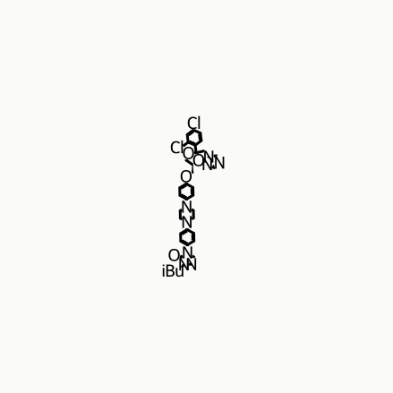 CCC(C)n1ncn(-c2ccc(N3CCN(c4ccc(OC[C@H]5COC(Cn6cncn6)(c6ccc(Cl)cc6Cl)O5)cc4)CC3)cc2)c1=O